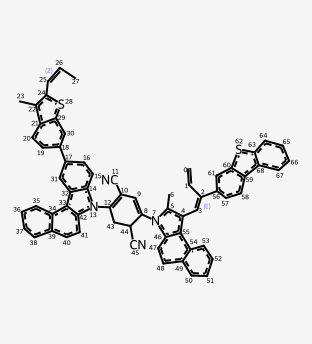 C=C/C(=C\c1c(C)n(C2=CC(C#N)=C(n3c4ccc(-c5ccc6c(C)c(/C=C\C)sc6c5)cc4c4c5ccccc5ccc43)CC2C#N)c2ccc3ccccc3c12)c1ccc2c(c1)sc1ccccc12